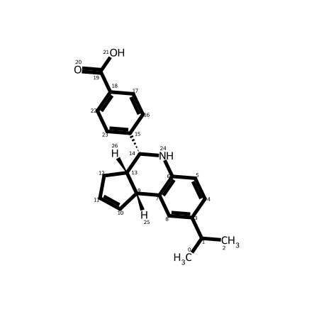 CC(C)c1ccc2c(c1)[C@@H]1C=CC[C@@H]1[C@H](c1ccc(C(=O)O)cc1)N2